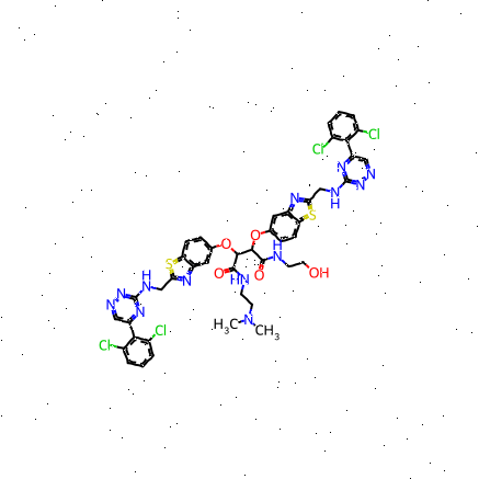 CN(C)CCNC(=O)C(Oc1ccc2sc(CNc3nncc(-c4c(Cl)cccc4Cl)n3)nc2c1)C(Oc1ccc2sc(CNc3nncc(-c4c(Cl)cccc4Cl)n3)nc2c1)C(=O)NCCO